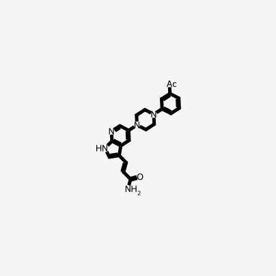 CC(=O)c1cccc(N2CCN(c3cnc4[nH]cc(/C=C/C(N)=O)c4c3)CC2)c1